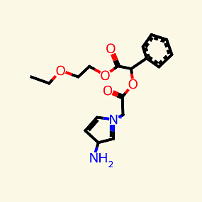 CCOCCOC(=O)C(OC(=O)C[N+]1=CC(N)C=C1)c1ccccc1